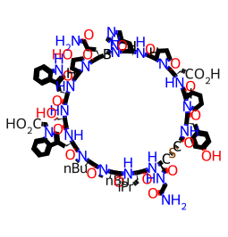 CCCC[C@H]1C(=O)N(C)[C@@H](CCCC)C(=O)N[C@@H](CC(C)C)C(=O)N[C@H](C(=O)NCC(N)=O)CSCC(=O)N[C@@H](Cc2ccc(O)cc2)C(=O)N2CCCC[C@H]2C(=O)N[C@@H](CC(=O)O)C(=O)N2CCC[C@H]2C(=O)N[C@H]2Cc3cncn3B(NC2=O)[C@@H](CCC(N)=O)C(=O)N2C[C@H](O)C[C@H]2C(=O)N[C@@H](Cc2c[nH]c3ccccc23)C(=O)N[C@@H](CO)C(=O)N[C@@H](Cc2cn(CC(=O)O)c3ccccc23)C(=O)N1C